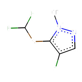 Fc1[c]nn(C(F)(F)F)c1SC(F)F